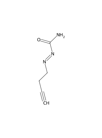 C#CCC/N=N/C(N)=O